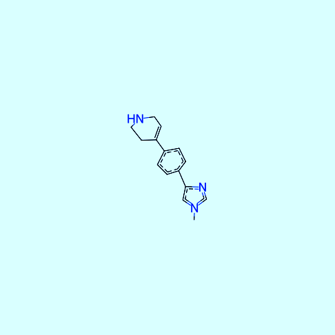 Cn1cnc(-c2ccc(C3=CCNCC3)cc2)c1